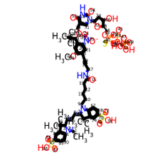 CC[N+]1=C(/C=C/C=C2/N(CCCCCC(=O)NCC#Cc3cc([N+](=O)[O-])c([C@@H](OCc4cn([C@H]5C[C@@H](O)[C@@H](COP(O)(=S)OP(=O)(O)OP(=O)(O)O)O5)c(=O)[nH]c4=O)C(C)(C)C)cc3OC)c3ccc(S(=O)(=O)O)cc3C2(C)C)C(C)(C)c2cc(S(=O)(=O)O)ccc21